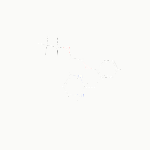 CC(C)(C)[Si](C)(C)OCCOc1ccccc1CC1NC=CCN1